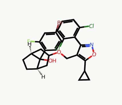 OC1(c2ccc(Br)cc2F)[C@@H]2CC[C@H]1CC(OCc1c(-c3c(Cl)cccc3Cl)noc1C1CC1)C2